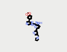 c1ncc(-c2ccc3[nH]nc(-c4nc5c(-c6ccc7c(c6)OCO7)cncc5[nH]4)c3n2)cc1CN1CCCC1